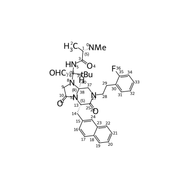 CN[C@@H](C)C(=O)N[C@](C=O)(N1CC(=O)N2[C@@H](Cc3ccc4ccccc4c3)C(=O)N(CCc3ccccc3F)C[C@@H]21)C(C)(C)C